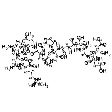 CC(C)C[C@H](NC(=O)[C@H](Cc1c[nH]cn1)NC(=O)[C@@H]1CCCN1C(=O)[C@H](CO)NC(=O)CNC(=O)[C@@H](NC(=O)CNC(=O)[C@H](CC(=O)O)NC(=O)[C@@H](N)CC(=O)O)[C@@H](C)O)C(=O)N[C@@H](CC(N)=O)C(=O)N[C@@H](CC(N)=O)C(=O)N[C@@H](CCCNC(=N)N)C(=O)O